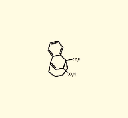 O=C(O)C1C=C2CCCCC1(C(=O)O)c1ccccc12